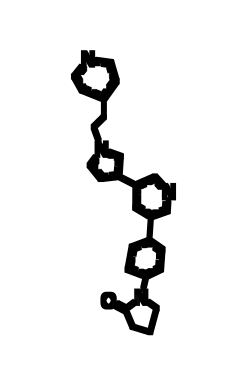 O=C1CCCN1c1ccc(-c2cncc(-c3ccn(CCc4ccncc4)c3)c2)cc1